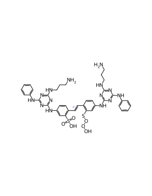 NCCCNc1nc(Nc2ccccc2)nc(Nc2ccc(/C=C/c3ccc(Nc4nc(NCCCN)nc(Nc5ccccc5)n4)cc3S(=O)(=O)O)c(SOOO)c2)n1